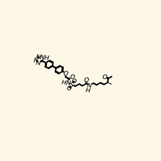 CC(=O)[C@@H](C)CCCCNC(=O)CCCS(=O)(=O)NC(=O)COc1ccc(-c2ccc(-c3nnn[nH]3)cc2)cc1